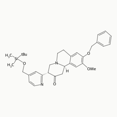 COc1cc2c(cc1OCc1ccccc1)CCN1C[C@@H](c3cc(CO[Si](C)(C)C(C)(C)C)ccn3)C(=O)C[C@H]21